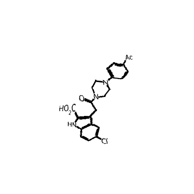 CC(=O)c1ccc(N2CCN(C(=O)Cc3c(C(=O)O)[nH]c4ccc(Cl)cc34)CC2)cc1